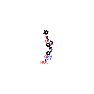 Cc1cccc(OCCCC(=O)N2CCCOc3c(-c4cnn(Cc5cccc(NC(=O)NCC(=O)O)c5)c4)cccc32)c1C